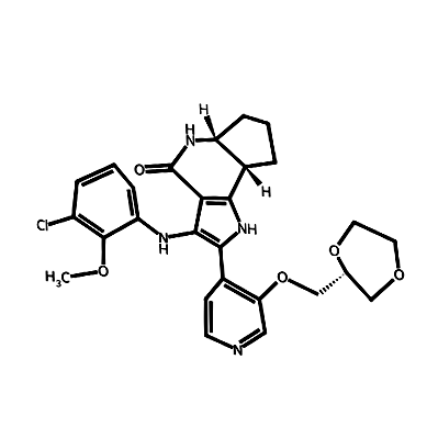 COc1c(Cl)cccc1Nc1c(-c2ccncc2OC[C@H]2COCCO2)[nH]c2c1C(=O)N[C@@H]1CCC[C@H]21